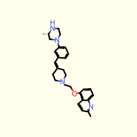 Cc1ccc2c(OCCN3CCC(=Cc4cccc(N5CCN[C@@H](C)C5)c4)CC3)cccc2n1